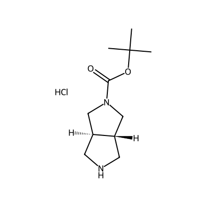 CC(C)(C)OC(=O)N1C[C@@H]2CNC[C@H]2C1.Cl